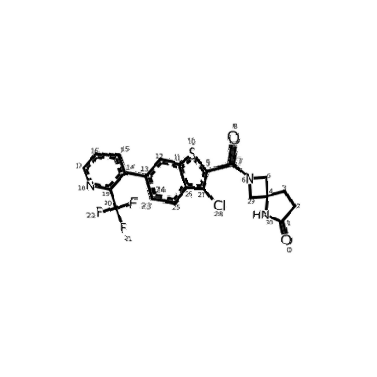 O=C1CCC2(CN(C(=O)c3sc4cc(-c5cccnc5C(F)(F)F)ccc4c3Cl)C2)N1